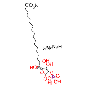 O=C(O)CCCCCCCCCCCCCCCC(O)[C@H](O)[C@H]1OC(=O)C(OP(=O)(O)O)=C1O.[NaH].[NaH]